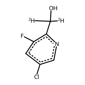 [2H]C([2H])(O)c1ncc(Cl)cc1F